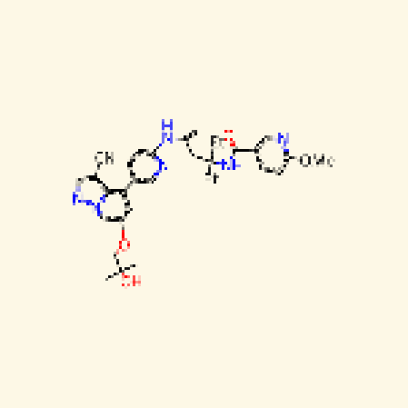 C=C(CC(CC)(CC)NC(=O)c1ccc(OC)nc1)Nc1ccc(-c2cc(OCC(C)(C)O)cn3ncc(C#N)c23)cn1